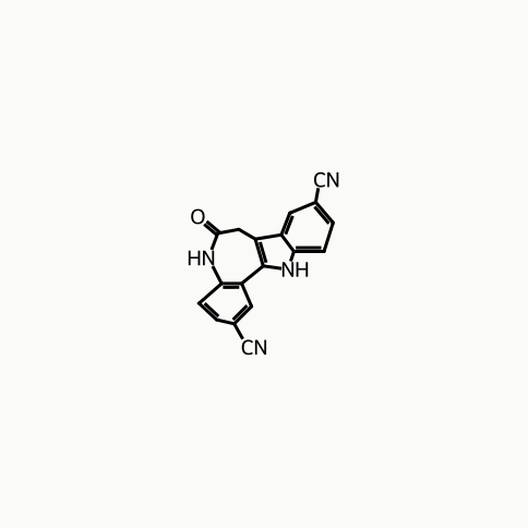 N#Cc1ccc2c(c1)-c1[nH]c3ccc(C#N)cc3c1CC(=O)N2